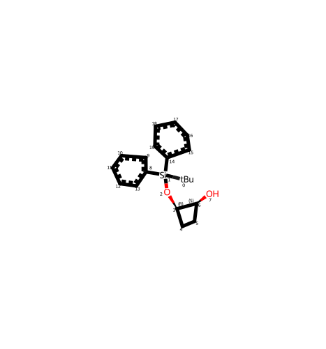 CC(C)(C)[Si](O[C@@H]1CC[C@@H]1O)(c1ccccc1)c1ccccc1